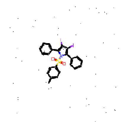 Cc1ccc(S(=O)(=O)n2c(-c3ccccc3)c(I)c(I)c2-c2ccccc2)cc1